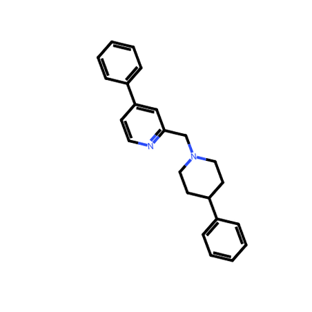 c1ccc(-c2ccnc(CN3CCC(c4ccccc4)CC3)c2)cc1